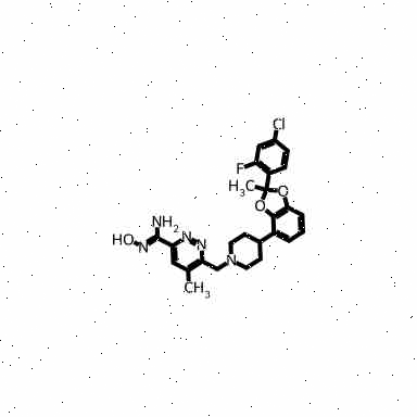 Cc1cc(C(N)=NO)nnc1CN1CCC(c2cccc3c2OC(C)(c2ccc(Cl)cc2F)O3)CC1